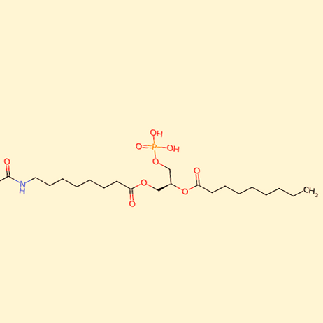 CCCCCCCCC(=O)O[C@@H](COC(=O)CCCCCCCNC(C)=O)COP(=O)(O)O